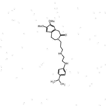 COc1cc2c(cc1OC)CC(=O)N(CCCNCCNc1ccc(N(C)C)cc1)CC2